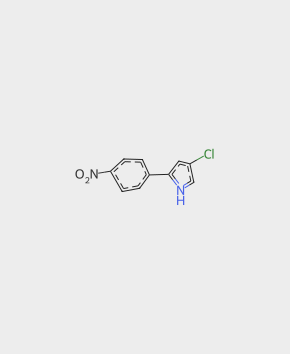 O=[N+]([O-])c1ccc(-c2cc(Cl)c[nH]2)cc1